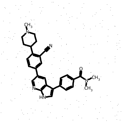 CN1CCC(c2ccc(-c3cnc4[nH]cc(-c5ccc(C(=O)N(C)C)cc5)c4c3)cc2C#N)CC1